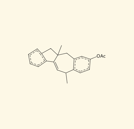 CC(=O)Oc1ccc2c(c1)CC1(C)Cc3ccccc3C1=CC2C